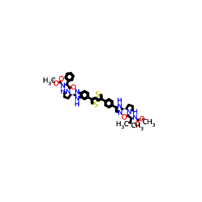 COC(=O)N[C@H](C(=O)N1CCC[C@H]1c1ncc(-c2ccc(-c3csc4c(-c5ccc6nc([C@@H]7CCCN7C(=O)[C@H](NC(=O)OC)c7ccccc7)[nH]c6c5)csc34)cc2)[nH]1)C(C)C